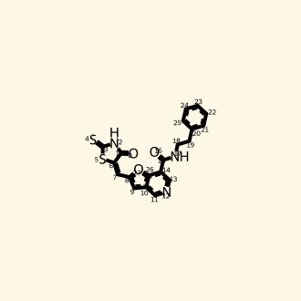 O=C1NC(=S)SC1=Cc1cc2cncc(C(=O)NCCc3ccccc3)c2o1